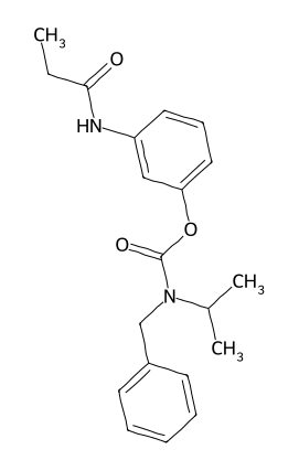 CCC(=O)Nc1cccc(OC(=O)N(Cc2ccccc2)C(C)C)c1